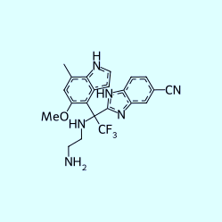 COc1cc(C)c2[nH]ccc2c1C(NCCN)(c1nc2cc(C#N)ccc2[nH]1)C(F)(F)F